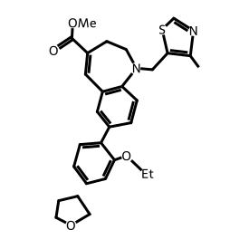 C1CCOC1.CCOc1ccccc1-c1ccc2c(c1)C=C(C(=O)OC)CCN2Cc1scnc1C